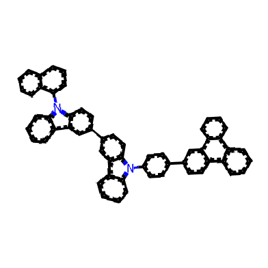 c1ccc2c(-n3c4ccccc4c4cc(-c5ccc6c(c5)c5ccccc5n6-c5ccc(-c6ccc7c8ccccc8c8ccccc8c7c6)cc5)ccc43)cccc2c1